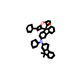 CC1(C)c2ccccc2-c2ccc(N(c3ccccc3)c3ccc4c(c3)-c3ccccc3C43c4ccccc4Oc4cc(C5=CCCC=C5)ccc43)cc21